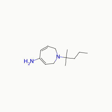 CCCC(C)(C)N1CC=CC(N)=CC1